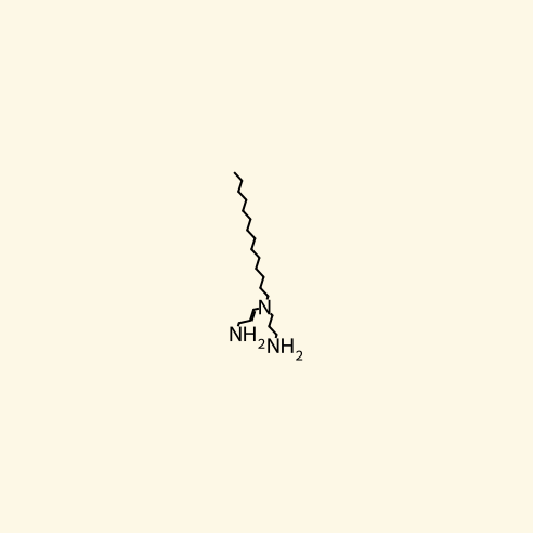 CCCCCCCCCCCCCCN(C=CCN)CCCN